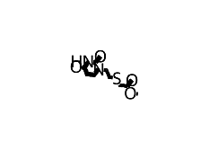 COC(=O)CSCCn1ccc(=O)[nH]c1=O